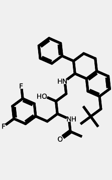 CC(=O)NC(Cc1cc(F)cc(F)c1)C(O)CNC1c2cc(CC(C)(C)C)ccc2CCC1c1ccccc1